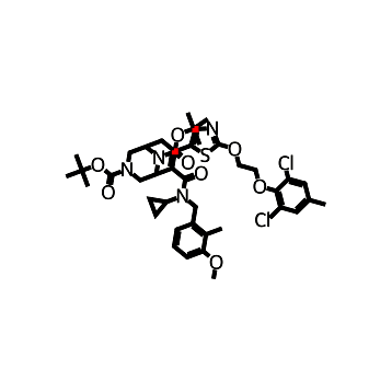 COc1cccc(CN(C(=O)C2=C(c3cnc(OCCOc4c(Cl)cc(C)cc4Cl)s3)CC3CN(C(=O)OC(C)(C)C)CC2N3C(=O)OC(C)(C)C)C2CC2)c1C